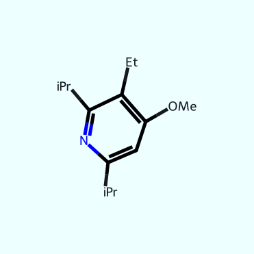 CCc1c(OC)cc(C(C)C)nc1C(C)C